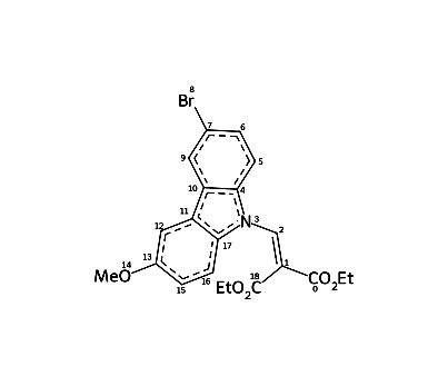 CCOC(=O)C(=Cn1c2ccc(Br)cc2c2cc(OC)ccc21)C(=O)OCC